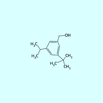 CC(C)c1cc([CH]O)cc(C(C)(C)C)c1